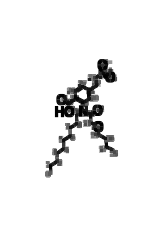 CCCCCCCCCCN(C(=O)COCCCC)c1cc(CC[N+](=O)[O-])ccc1C(=O)O